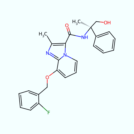 Cc1nc2c(OCc3ccccc3F)cccn2c1C(=O)N[C@@](C)(CO)c1ccccc1